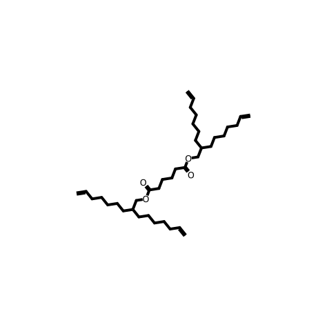 C=CCCCCCC(CCCCCC=C)COC(=O)CCCCC(=O)OCC(CCCCCC=C)CCCCCC=C